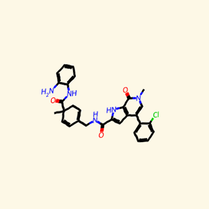 Cn1cc(-c2ccccc2Cl)c2cc(C(=O)NCC3=CCC(C)(C(=O)Nc4ccccc4N)C=C3)[nH]c2c1=O